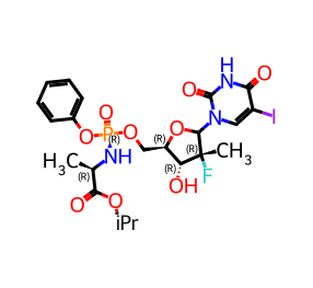 CC(C)OC(=O)[C@@H](C)N[P@@](=O)(OC[C@H]1OC(n2cc(I)c(=O)[nH]c2=O)[C@](C)(F)[C@@H]1O)Oc1ccccc1